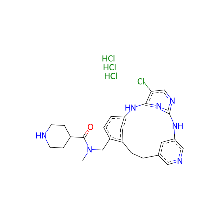 CN(Cc1ccc2cc1CCc1cncc(c1)Nc1ncc(Cl)c(n1)N2)C(=O)C1CCNCC1.Cl.Cl.Cl